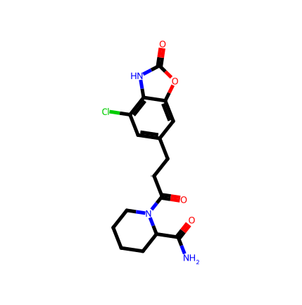 NC(=O)C1CCCCN1C(=O)[CH]Cc1cc(Cl)c2[nH]c(=O)oc2c1